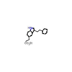 CCOC(=O)CCc1ccc2[nH]cc(CCc3ccccc3)c2c1